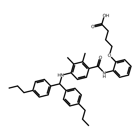 CCCc1ccc(C(Nc2ccc(C(=O)Nc3ccccc3OCCCC(=O)O)c(C)c2C)c2ccc(CCC)cc2)cc1